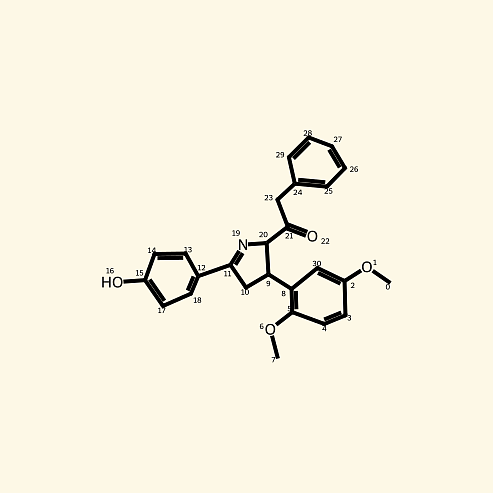 COc1ccc(OC)c(C2CC(c3ccc(O)cc3)=NC2C(=O)Cc2ccccc2)c1